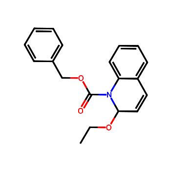 CCOC1C=Cc2ccccc2N1C(=O)OCc1ccccc1